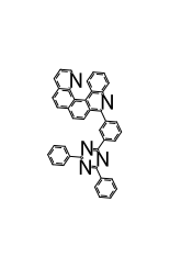 c1ccc(-c2nc(-c3ccccc3)nc(-c3cccc(-c4nc5ccccc5c5c4ccc4ccc6cccnc6c45)c3)n2)cc1